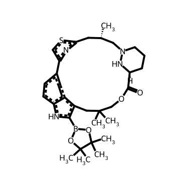 C[C@H]1Cc2nc(cs2)-c2ccc3[nH]c(B4OC(C)(C)C(C)(C)O4)c(c3c2)CC(C)(C)COC(=O)[C@@H]2CCCN(C1)N2